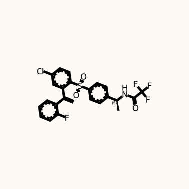 C=C(c1ccccc1F)c1cc(Cl)ccc1S(=O)(=O)c1ccc([C@H](C)NC(=O)C(F)(F)F)cc1